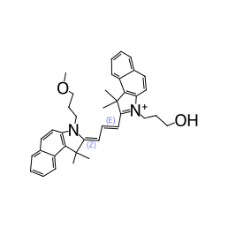 COCCCN1/C(=C\C=C\C2=[N+](CCCO)c3ccc4ccccc4c3C2(C)C)C(C)(C)c2c1ccc1ccccc21